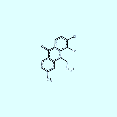 Cc1ccc2c(=O)c3ccc(Cl)c(Br)c3n(CC(=O)O)c2c1